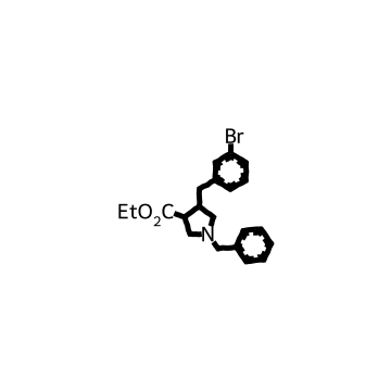 CCOC(=O)C1CN(Cc2ccccc2)CC1Cc1cccc(Br)c1